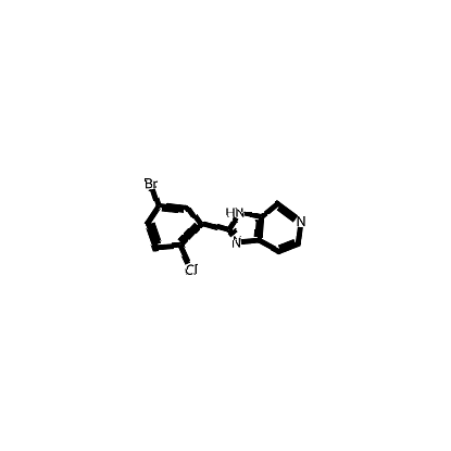 Clc1ccc(Br)cc1-c1nc2ccncc2[nH]1